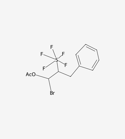 CC(=O)OC(Br)C(Cc1ccccc1)S(F)(F)(F)(F)F